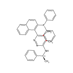 Cc1c(N[C@@H](C)c2ccccc2)nnc(-c2c(P(c3ccccc3)c3ccccc3)ccc3ccccc23)c1C